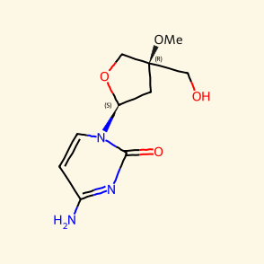 CO[C@]1(CO)CO[C@H](n2ccc(N)nc2=O)C1